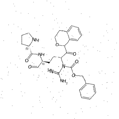 N=C(N)N(C(=O)OCc1ccccc1)C(CC[C@@H](C=O)NC(=O)[C@@H]1CCCN1)C(=O)C1OCCc2ccccc21